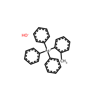 Cc1ccccc1[As+](c1ccccc1)(c1ccccc1)c1ccccc1.[OH-]